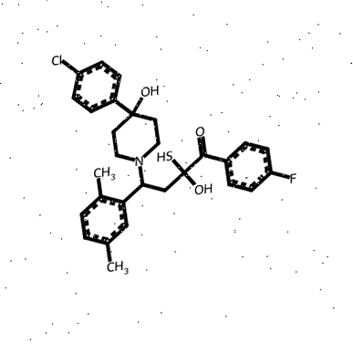 Cc1ccc(C)c(C(CC(O)(S)C(=O)c2ccc(F)cc2)N2CCC(O)(c3ccc(Cl)cc3)CC2)c1